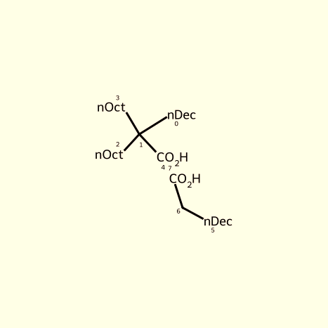 CCCCCCCCCCC(CCCCCCCC)(CCCCCCCC)C(=O)O.CCCCCCCCCCCC(=O)O